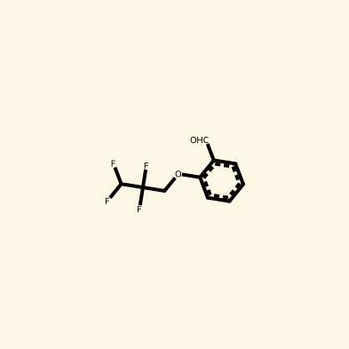 O=Cc1ccccc1OCC(F)(F)C(F)F